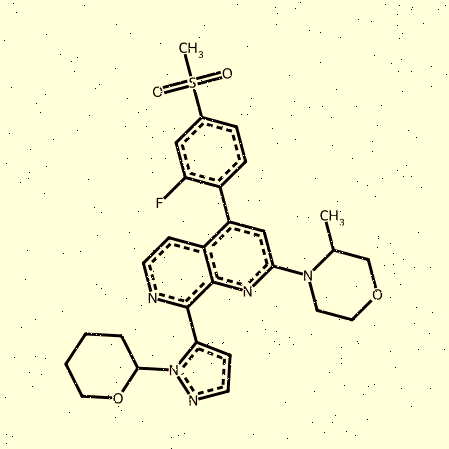 CC1COCCN1c1cc(-c2ccc(S(C)(=O)=O)cc2F)c2ccnc(-c3ccnn3C3CCCCO3)c2n1